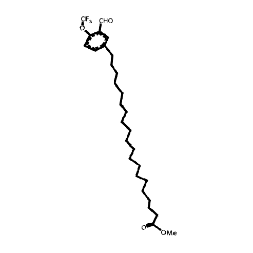 COC(=O)CCCCCCCCCCCCCCCCCCCc1ccc(OC(F)(F)F)c(C=O)c1